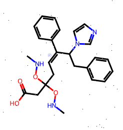 CNOC(C/C=C(/c1ccccc1)C(Cc1ccccc1)n1ccnc1)(CC(=O)O)ONC